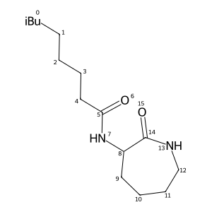 CCC(C)CCCCC(=O)NC1CCCCNC1=O